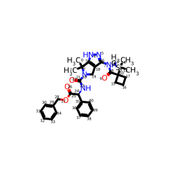 CC1(C)c2[nH]nc(NC(=O)C3([Si](C)(C)C)CCC3)c2CN1C(=O)N[C@H](C(=O)OCc1ccccc1)c1ccccc1